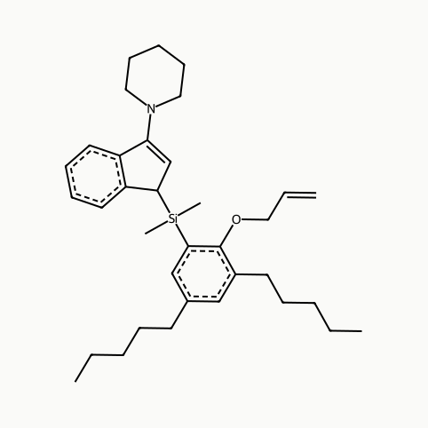 C=CCOc1c(CCCCC)cc(CCCCC)cc1[Si](C)(C)C1C=C(N2CCCCC2)c2ccccc21